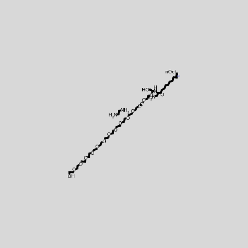 CCCCCCCC/C=C\CCCCCCCC(=O)C(CN)NC(CO)OCCOCCOCCOCCOCCOCCOCCOCCOCCOCCOCCOCCOCCOCCO.NCCN